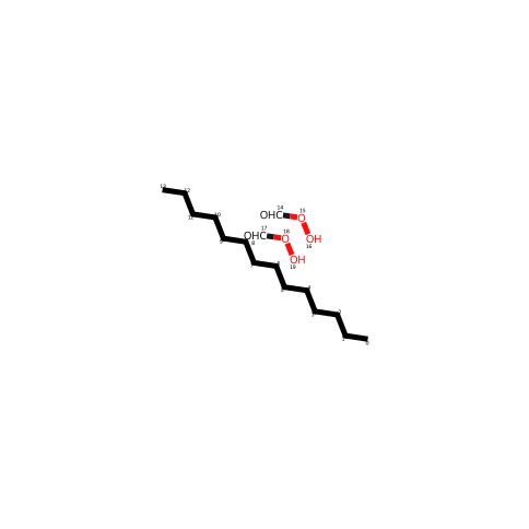 CCCCCCCCCCCCCC.O=COO.O=COO